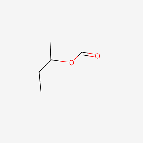 CCC(C)OC=O